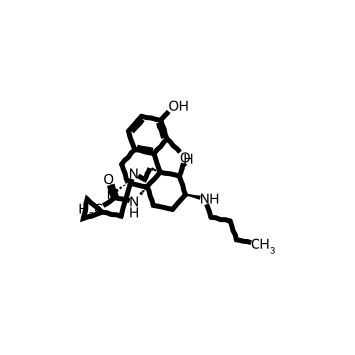 CCCCN[C@H]1CC[C@@]2(NC(C)=O)[C@H]3Cc4ccc(O)c5c4[C@@]2(CCN3CC2CC2)[C@H]1O5